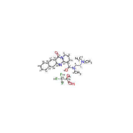 CN(C)CCN(C)C(=O)c1cccn2c(=O)c3cc4ccccc4cc3nc12.O=C(O)C(F)(F)F